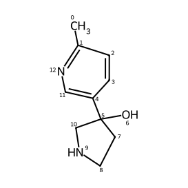 Cc1ccc(C2(O)CCNC2)cn1